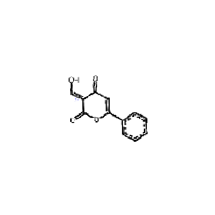 O=C1C=C(c2ccccc2)OC(=O)/C1=C/O